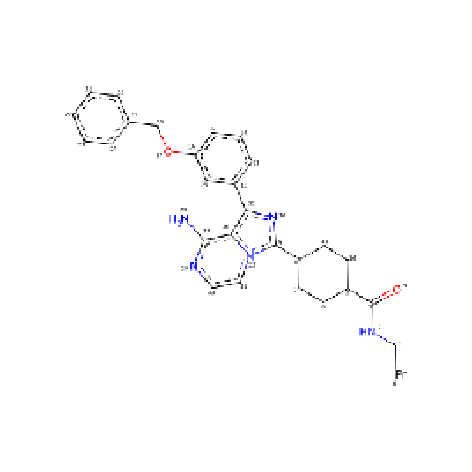 CC(C)CNC(=O)C1CCC(c2nc(-c3cccc(OCc4ccccc4)c3)c3c(N)nccn23)CC1